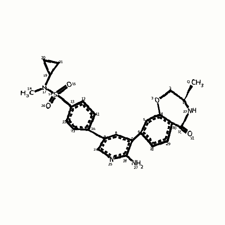 C[C@@H]1COc2cc(-c3cc(-c4ccc(S(=O)(=O)N(C)C5CC5)cc4)cnc3N)ccc2C(=O)N1